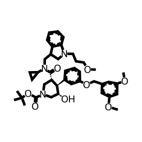 COCCCN1CC(CN(C(=O)[C@H]2CN(C(=O)OC(C)(C)C)C[C@@H](O)[C@@H]2c2cccc(OCc3cc(OC)cc(OC)c3)c2)C2CC2)c2ccccc21